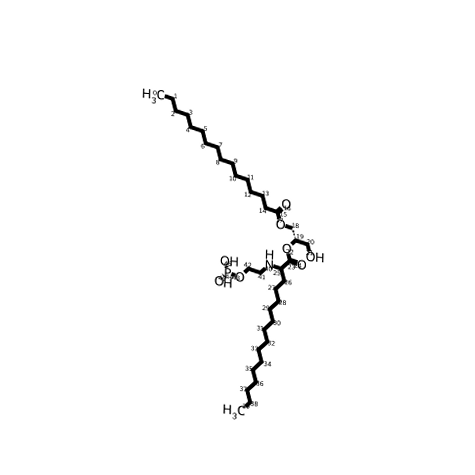 CCCCCCCCCCCCCCCC(=O)OC[C@H](CO)OC(=O)C(CCCCCCCCCCCCCC)NCCO[PH](=O)O